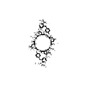 CC(C)C[C@H]1C(=O)O[C@H](Cc2ccc(Cc3cccnc3N(C)C)cc2)C(=O)N(C)[C@@H](CC(C)C)C(=O)O[C@H](C)C(=O)N(C)[C@@H](CC(C)C)C(=O)O[C@H](Cc2ccc(Cc3cccnc3N(C)C)cc2)C(=O)N(C)[C@@H](CC(C)C)C(=O)O[C@H](C)C(=O)N1C